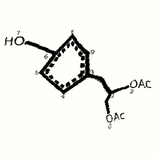 CC(=O)OC(OC(C)=O)c1ccc(O)cc1